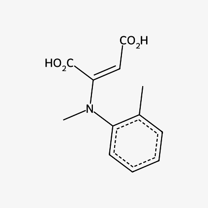 Cc1ccccc1N(C)C(=CC(=O)O)C(=O)O